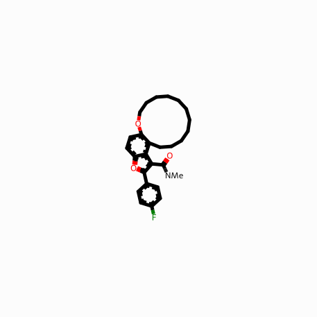 CNC(=O)c1c(-c2ccc(F)cc2)oc2ccc3c(c12)CCCCCCCCCCCO3